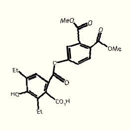 CCc1cc(C(=O)Oc2ccc(C(=O)OC)c(C(=O)OC)c2)c(C(=O)O)c(CC)c1O